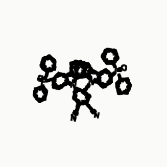 N#Cc1cc(-n2c3ccccc3c3cc(P(=O)(c4ccccc4)c4ccccc4)ccc32)c(-n2c3ccccc3c3cc(P(=O)(c4ccccc4)c4ccccc4)ccc32)cc1C#N